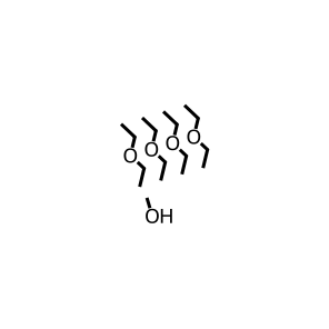 CCOCC.CCOCC.CCOCC.CCOCC.CO